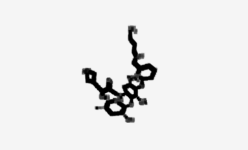 C[C@@H]1CO[C@H](O[C@@H]2[C@@H](O)[C@H](O[C@@H]3CCC=C(CNCCCN)O3)[C@@H](N)C[C@H]2NC(=O)C(O)C2CNC2)[C@H](O)C1